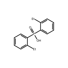 CCc1ccccc1P(=O)(O)c1ccccc1CC